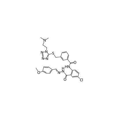 COc1ccc(C=NNC(=O)c2cc(Cl)ccc2NC(=O)c2cccc(CSc3nnnn3CCN(C)C)c2)cc1